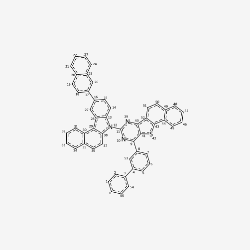 c1ccc(-c2cccc(-c3nc(-n4c5ccc(-c6ccc7ccccc7c6)cc5c5c6ccccc6ccc54)nc4c3sc3c5ccccc5ccc43)c2)cc1